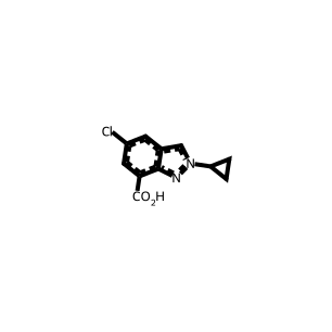 O=C(O)c1cc(Cl)cc2cn(C3CC3)nc12